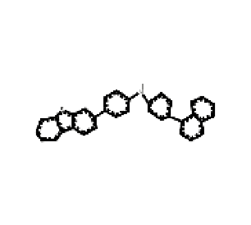 c1ccc2c(-c3ccc(Nc4ccc(-c5ccc6c(c5)sc5ccccc56)cc4)cc3)cccc2c1